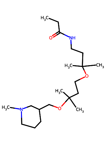 CCC(=O)NCCC(C)(C)OCCC(C)(C)OCC1CCCN(C)C1